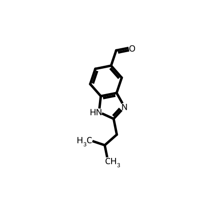 CC(C)Cc1nc2cc(C=O)ccc2[nH]1